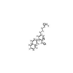 CCCCCc1cnc(C=O)c(-c2ccc3ccccc3c2)c1